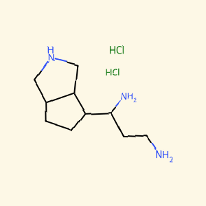 Cl.Cl.NCCC(N)C1CCC2CNCC21